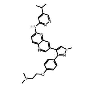 CC(C)c1cnnc(Nc2ccc3ncc(-c4cn(C)nc4-c4ccc(OCCN(C)C)cc4)cc3n2)c1